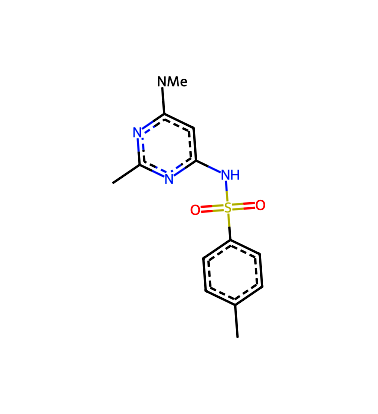 CNc1cc(NS(=O)(=O)c2ccc(C)cc2)nc(C)n1